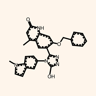 Cc1cc(=O)[nH]c2cc(OCc3ccccc3)c(-c3nnc(O)n3-c3ccc4c(ccn4C)c3)cc12